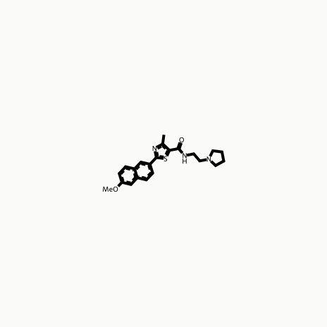 COc1ccc2cc(-c3nc(C)c(C(=O)NCCN4CCCC4)s3)ccc2c1